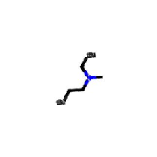 CN(CCC(C)(C)C)CC(C)(C)C